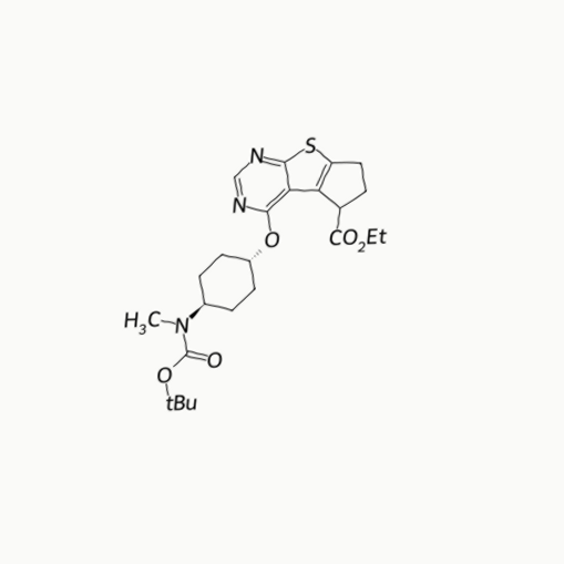 CCOC(=O)C1CCc2sc3ncnc(O[C@H]4CC[C@H](N(C)C(=O)OC(C)(C)C)CC4)c3c21